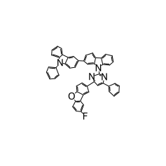 Fc1ccc2oc3ccc(-c4cc(-c5ccccc5)nc(-n5c6ccccc6c6ccc(-c7ccc8c(c7)c7ccccc7n8-c7ccccc7)cc65)n4)cc3c2c1